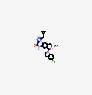 COCc1cc2c(cc1C(=O)N1CCc3cc(Cl)ccc31)[nH]c(=O)c1nnc(CC3CC3)n12